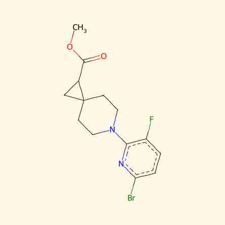 COC(=O)C1CC12CCN(c1nc(Br)ccc1F)CC2